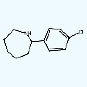 Clc1ccc(C2CCCCCN2)cc1